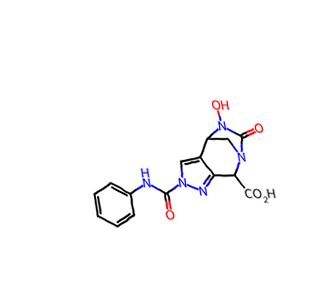 O=C(O)C1c2nn(C(=O)Nc3ccccc3)cc2C2CN1C(=O)N2O